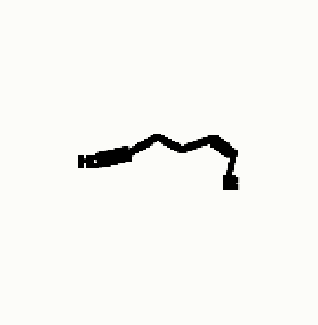 C#CCC/C=C\CC